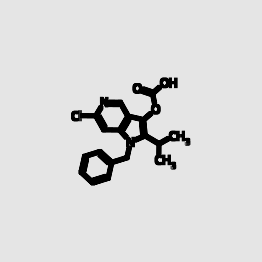 CC(C)c1c(OC(=O)O)c2cnc(Cl)cc2n1Cc1ccccc1